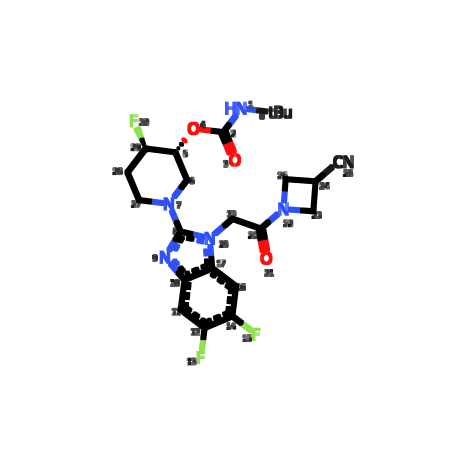 CC(C)(C)NC(=O)O[C@@H]1CN(c2nc3cc(F)c(F)cc3n2CC(=O)N2CC(C#N)C2)CC[C@H]1F